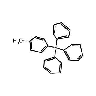 Cc1ccc(S(c2ccccc2)(c2ccccc2)c2ccccc2)cc1